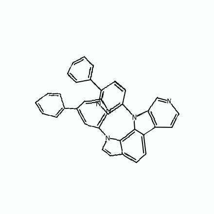 c1ccc(-c2ccnc(-n3ccc4ccc5c6ccncc6n(-c6ccc(-c7ccccc7)nc6)c5c43)c2)cc1